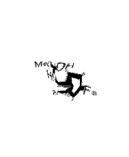 COC(O)Nc1ccc(F)cc1Br